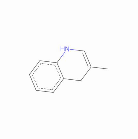 CC1=CNc2ccccc2C1